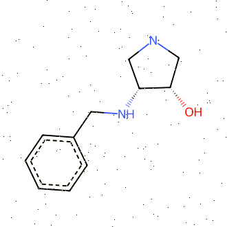 O[C@H]1C[N]C[C@H]1NCc1ccccc1